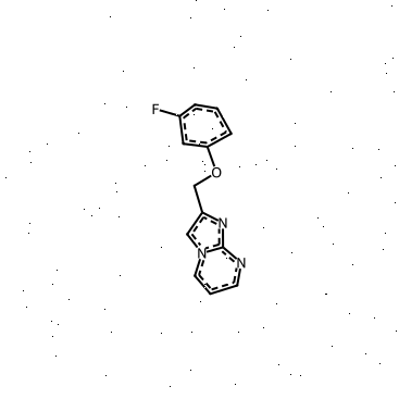 Fc1cccc(OCc2cn3cccnc3n2)c1